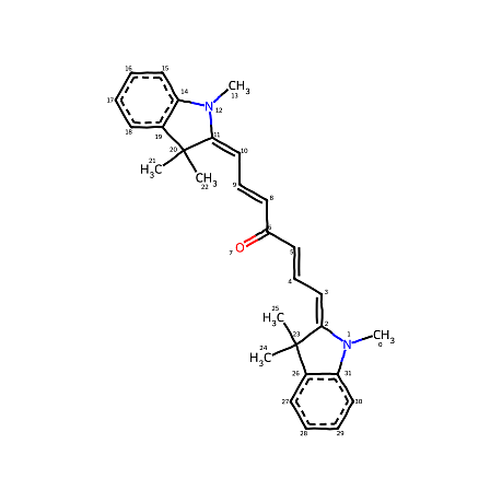 CN1/C(=C/C=C/C(=O)/C=C/C=C2/N(C)c3ccccc3C2(C)C)C(C)(C)c2ccccc21